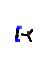 C[SiH](C)C.N=C=N